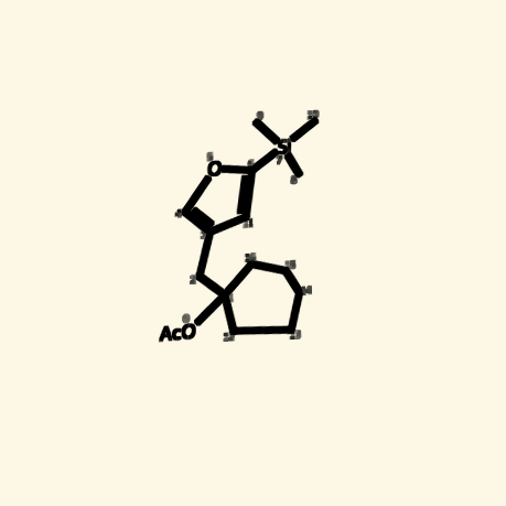 CC(=O)OC1(Cc2coc([Si](C)(C)C)c2)CCCCC1